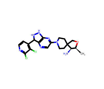 C[C@@H]1OCC2(CCN(c3cnc4c(n3)NNC4c3ccnc(Cl)c3Cl)CC2)[C@@H]1N